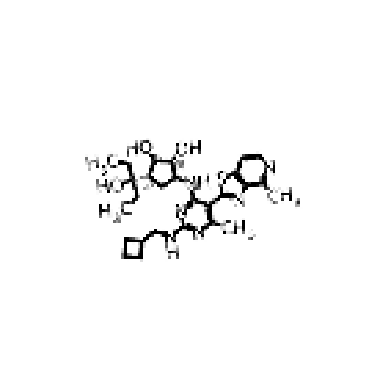 CCC(O)(CC)[C@H]1CC(Nc2nc(NCC3CCC3)nc(C)c2-c2nc3c(C)nccc3s2)[C@H](O)[C@@H]1O